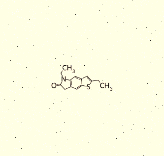 CCc1cc2cc3c(cc2s1)CC(=O)N3CC